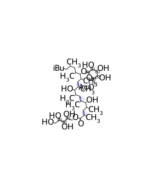 CCC(C)CC(C)CC(C)C(O[C@@H]1O[C@H](COC(C)=O)[C@@H](O)[C@H](O)[C@@H]1O)C(C)/C=C(\C)C(O)C(C)/C=C(\C)C(O)C(C)/C=C(\C)C(=O)OC[C@@H](O)[C@H](O)[C@H](O)CO